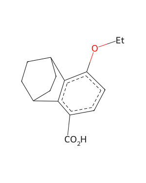 CCOc1ccc(C(=O)O)c2c1C1CCC2CC1